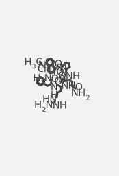 CN(C)c1cccc2c(S(=O)(=O)N3CCCC3C(=O)NC(CCC(N)=O)C(=O)NC(CCCNC(=N)N)C(=O)NC(Cc3ccccc3)C(N)=O)cccc12